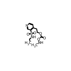 CCNS(=O)(=O)c1cnccc1CCOC(=O)ONC